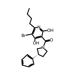 CCCCc1nc(O)c(C(=O)N2CC[C@H](c3ccccc3)C2)c(O)c1Br